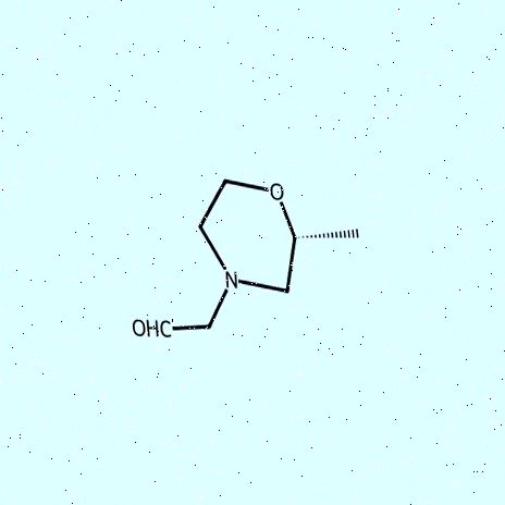 C[C@@H]1CN(CC=O)CCO1